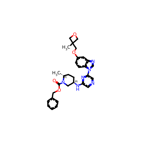 C[C@@H]1CC[C@@H](Nc2cncc(-n3cnc4cc(OCC5(C)COC5)ccc43)n2)CN1C(=O)OCc1ccccc1